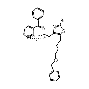 CCOC(=O)[C@H](Cc1nc(Br)sc1CCCCOCc1ccccc1)N=C(c1ccccc1)c1ccccc1